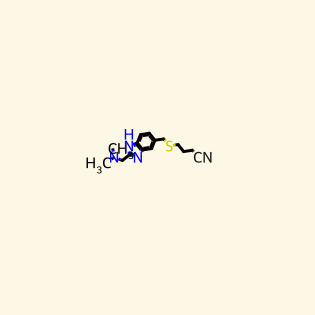 CN(C)Cc1nc2cc(CSCCCC#N)ccc2[nH]1